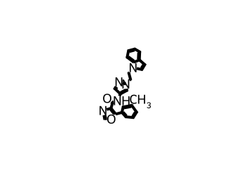 Cc1cccc(-c2ocnc2C(=O)Nc2cnn(CCn3ccc4ccccc43)c2)c1